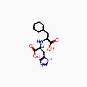 O=C(O)C(CC1CCCCC1)N[C@@H](Cc1cnc[nH]1)C(=O)O